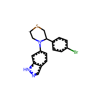 Brc1ccc(C2CS[CH]CN2c2ccc3cn[nH]c3c2)cc1